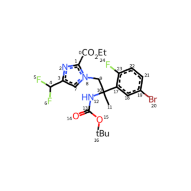 CCOC(=O)c1nc(C(F)F)cn1CC(C)(NC(=O)OC(C)(C)C)c1cc(Br)ccc1F